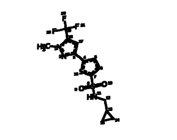 Cn1nc(-c2ccc(S(=O)(=O)NCC3CC3)s2)cc1C(F)(F)F